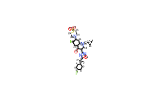 CC(C)(c1ccc(F)cc1)c1nc(-c2cn(CC3CC3)c3cc(N4CCS(=O)(=O)CC4)c(F)cc3c2=O)no1